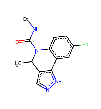 CCNC(=O)N1c2ccc(Cl)cc2-c2[nH]ncc2C1C